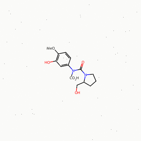 COc1ccc(N(C(=O)O)C(=O)N2CCCC2CO)cc1O